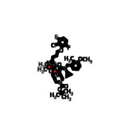 COc1cccc(CN(C(=O)C2=C(c3cnc(CCCOc4c(F)ccc(F)c4Cl)s3)CC3CN(C(=O)OC(C)(C)C)CC2N3C(=O)OC(C)(C)C)C2CC2)c1C